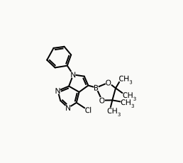 CC1(C)OB(c2cn(-c3ccccc3)c3ncnc(Cl)c23)OC1(C)C